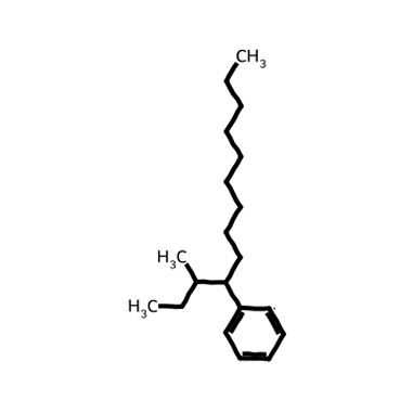 CCCCCCCCCC(c1[c]cccc1)C(C)CC